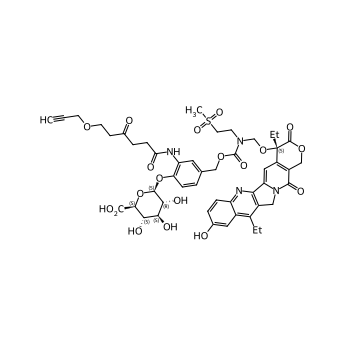 C#CCOCCC(=O)CCC(=O)Nc1cc(COC(=O)N(CCS(C)(=O)=O)CO[C@]2(CC)C(=O)OCc3c2cc2n(c3=O)Cc3c-2nc2ccc(O)cc2c3CC)ccc1O[C@@H]1O[C@H](C(=O)O)[C@@H](O)[C@H](O)[C@H]1O